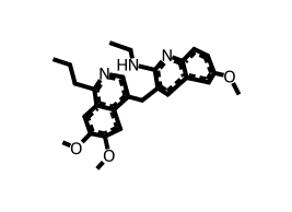 CCCc1ncc(Cc2cc3cc(OC)ccc3nc2NCC)c2cc(OC)c(OC)cc12